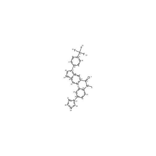 CN(C(=O)c1cn2c(-c3ccc(C(F)(F)F)cc3)cnc2cn1)c1ccc(-n2cncn2)cc1